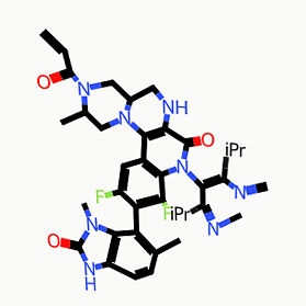 C=CC(=O)N1CC2CNc3c(c4cc(F)c(-c5c(C)ccc6[nH]c(=O)n(C)c56)c(F)c4n(C(/C(=N\C)C(C)C)=C(/N=C)C(C)C)c3=O)N2CC1C